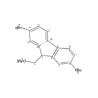 COCC1c2cc(C(C)(C)C)ccc2-c2ccc(C(C)(C)C)cc21